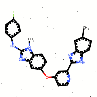 Cc1ccc2[nH]c(-c3cc(Oc4ccc5c(c4)nc(Nc4ccc(F)cc4)n5C)ccn3)nc2c1